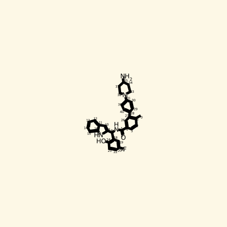 Cc1ccc(C(=O)NC(c2cc3ccccc3[nH]2)c2cc(F)ccc2O)cc1-c1ccc(N2CCC(N)CC2)cc1